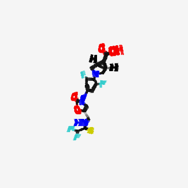 O=C(O)C1[C@H]2CN(c3c(F)cc(N4C[C@H](CNC(=S)C(F)F)OC4=O)cc3F)C[C@@H]12